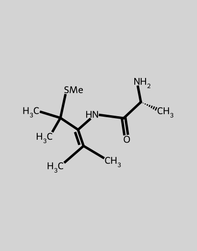 CSC(C)(C)C(NC(=O)[C@@H](C)N)=C(C)C